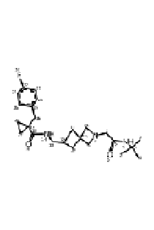 CC(C)(C)NC(=O)CN1CC2(CC(CNC(=O)C3(Cc4ccc(F)cc4)CC3)C2)C1